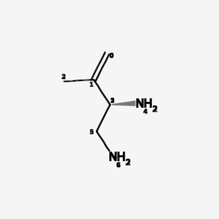 C=C(C)[C@H](N)CN